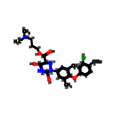 COc1ccc(Oc2c(C)cc(-n3nc(C(=O)OCCCN(C)C)c(=O)[nH]c3=O)cc2C)cc1Br